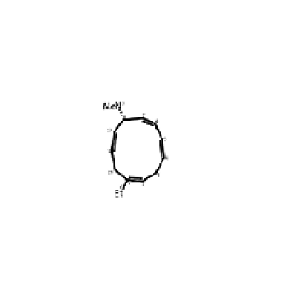 CC/C1=C/C/C=C\C=C/[C@@H](NC)/C=C\C1